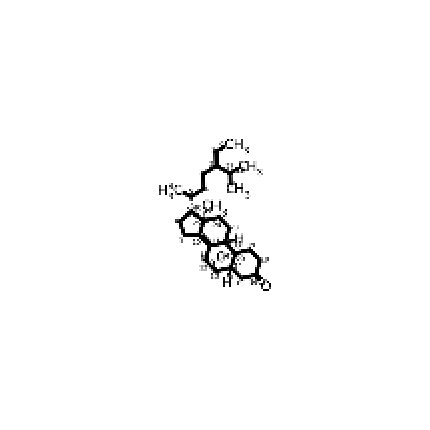 CCC(CCC(C)[C@H]1CCC2=C3CC[C@H]4CC(=O)CC[C@]4(C)[C@H]3CC[C@@]21C)C(C)C